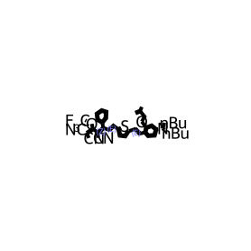 C=C(C)COc1cc(N(CCCC)CCCC)ccc1/C=C/c1ccc(/C=C/C(=C(\C#N)C(OC(F)(F)F)=C(C#N)C#N)c2ccccc2)s1